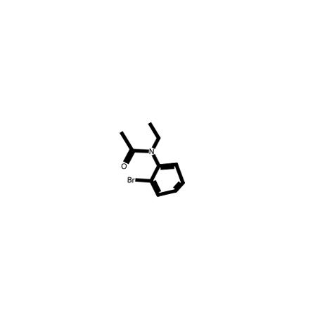 CCN(C(C)=O)c1ccccc1Br